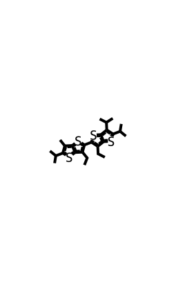 CCc1c(-c2sc3c(C(C)C)c(C(C)C)sc3c2CC)sc2c(C)c(C(C)C)sc12